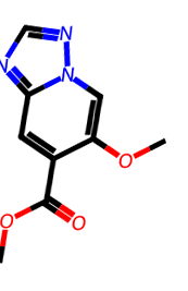 COC(=O)c1cc2ncnn2cc1OC